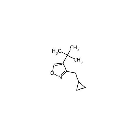 CC(C)(C)c1conc1CC1CC1